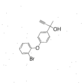 C#CC(C)(O)c1ccc(Oc2ccccc2Br)cc1